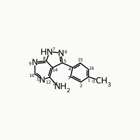 Cc1ccc(-c2n[nH]c3ncnc(N)c23)cc1